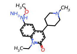 CCn1c(=O)cc(C2CCN(C)CC2)c2cc(NOC)ccc21.N